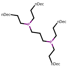 CCCCCCCCCCCCP(CCCCCCCCCCCC)CCCP(CCCCCCCCCCCC)CCCCCCCCCCCC